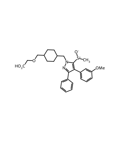 COc1cccc(-c2c(-c3ccccc3)nn(CC3CCC(COCC(=O)O)CC3)c2[S+](C)[O-])c1